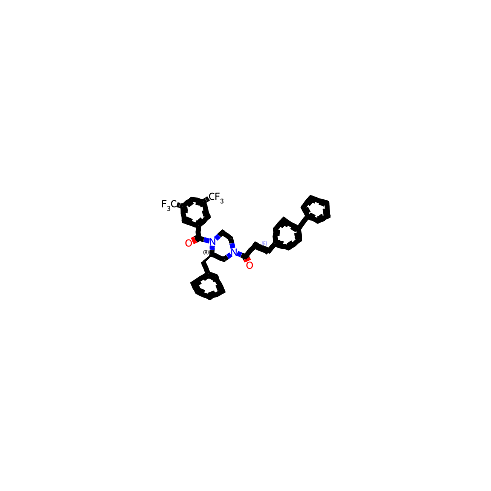 O=C(/C=C/c1ccc(-c2ccccc2)cc1)N1CCN(C(=O)c2cc(C(F)(F)F)cc(C(F)(F)F)c2)[C@H](Cc2ccccc2)C1